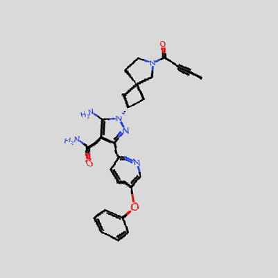 CC#CC(=O)N1CC[C@]2(C1)C[C@@H](n1nc(-c3ccc(Oc4ccccc4)cn3)c(C(N)=O)c1N)C2